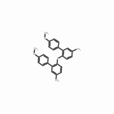 COc1ccc(-c2cc(C)ccc2Sc2ccc(C)cc2-c2ccc(OC)cc2)cc1